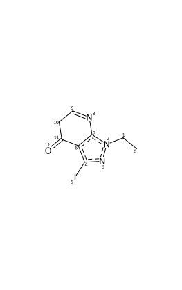 CCn1nc(I)c2c1N=CCC2=O